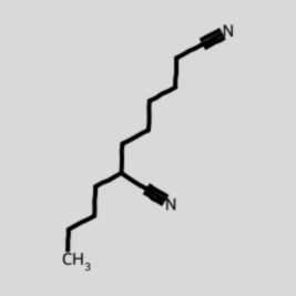 CCCCC(C#N)CCCCCC#N